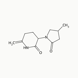 C=C1CCC(N2CC(C)CC2=O)C(=O)N1